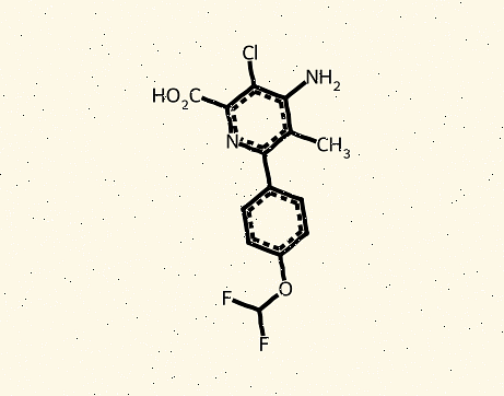 Cc1c(-c2ccc(OC(F)F)cc2)nc(C(=O)O)c(Cl)c1N